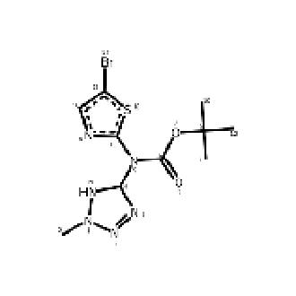 CN1N=NC(N(C(=O)OC(C)(C)C)c2ncc(Br)s2)N1